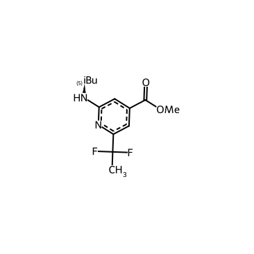 CC[C@H](C)Nc1cc(C(=O)OC)cc(C(C)(F)F)n1